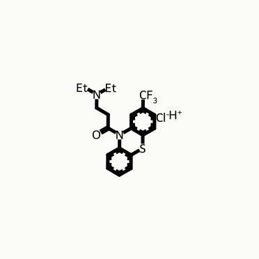 CCN(CC)CCC(=O)N1c2ccccc2Sc2ccc(C(F)(F)F)cc21.[Cl-].[H+]